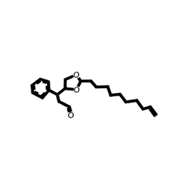 C=CCCCCCCCCC1OCC(C(CC=O)c2ccccc2)O1